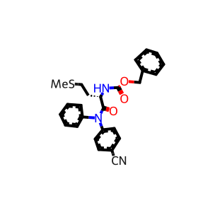 CSCC[C@H](NC(=O)OCc1ccccc1)C(=O)N(c1ccccc1)c1ccc(C#N)cc1